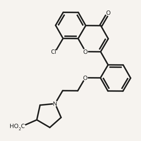 O=C(O)C1CCN(CCOc2ccccc2-c2cc(=O)c3cccc(Cl)c3o2)C1